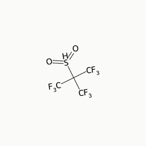 O=[SH](=O)C(C(F)(F)F)(C(F)(F)F)C(F)(F)F